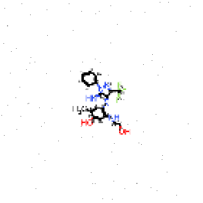 Cc1cc(N=C2C(=N)N(c3ccccc3)N=C2C(F)(F)F)c(NCCO)cc1O